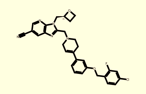 N#Cc1cnc2c(c1)nc(CN1CC=C(c3cccc(OCc4ccc(Cl)cc4F)c3)CC1)n2C[C@@H]1CCO1